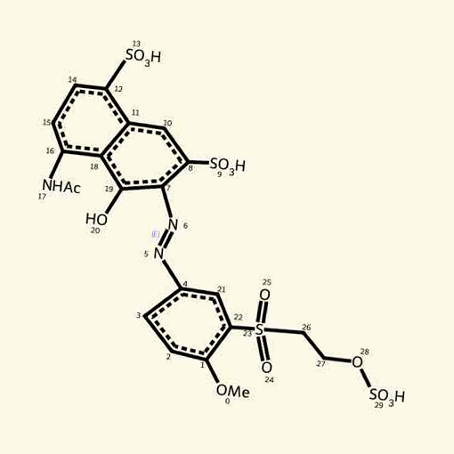 COc1ccc(/N=N/c2c(S(=O)(=O)O)cc3c(S(=O)(=O)O)ccc(NC(C)=O)c3c2O)cc1S(=O)(=O)CCOS(=O)(=O)O